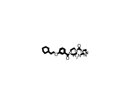 Nc1nncn1C(=O)N1CCN(C(=O)c2cccc(OCCC3CCCCC3)c2)CC1